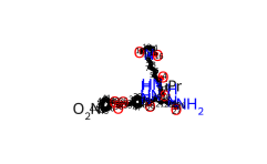 CC(C)[C@@H](NC(=O)CCCCCN1C(=O)C=CC1=O)C(=O)N[C@@H](CCCNC(N)=O)C(=O)Nc1ccc(COC(=O)Oc2ccc([N+](=O)[O-])cc2)cc1